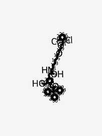 O=C(Oc1ccc(CC(O)NCCCCCCOCCOCc2c(Cl)cccc2Cl)cc1CO)C(c1ccccc1)(c1ccccc1)c1ccccc1